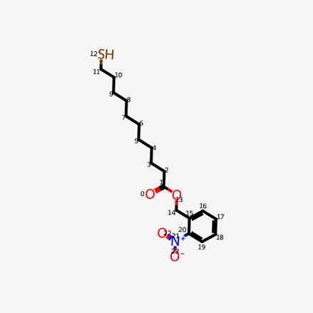 O=C(CCCCCCCCCCS)OCc1ccccc1[N+](=O)[O-]